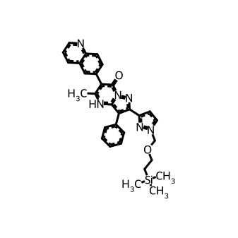 Cc1[nH]c2c(-c3ccccc3)c(-c3ccn(COCC[Si](C)(C)C)n3)nn2c(=O)c1-c1ccc2ncccc2c1